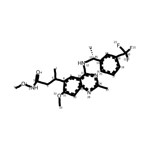 CONC(=O)CC(C)c1cc2c(N[C@H](C)c3cccc(C(F)(F)F)c3)nc(C)nc2cc1OC